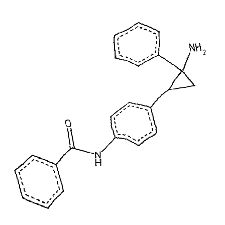 NC1(c2ccccc2)CC1c1ccc(NC(=O)c2ccccc2)cc1